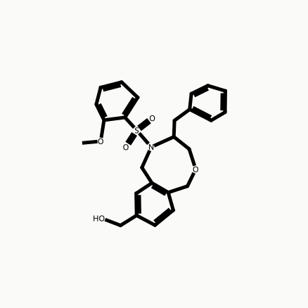 COc1ccccc1S(=O)(=O)N1Cc2cc(CO)ccc2COCC1Cc1ccccc1